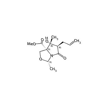 C=CC[C@H]1C(=O)N2[C@H](C)OC[C@@]2(C(=O)OC)[C@]1(C)O